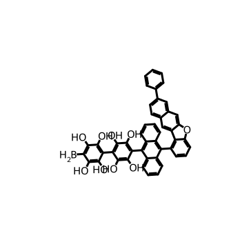 Bc1c(O)c(O)c(-c2c(O)c(O)c(-c3c4ccccc4c(-c4cccc5oc6cc7cc(-c8ccccc8)ccc7cc6c45)c4ccccc34)c(O)c2O)c(O)c1O